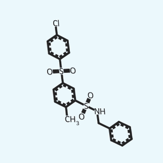 Cc1ccc(S(=O)(=O)c2ccc(Cl)cc2)cc1S(=O)(=O)NCc1ccccc1